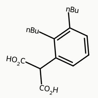 CCCCc1cccc(C(C(=O)O)C(=O)O)c1CCCC